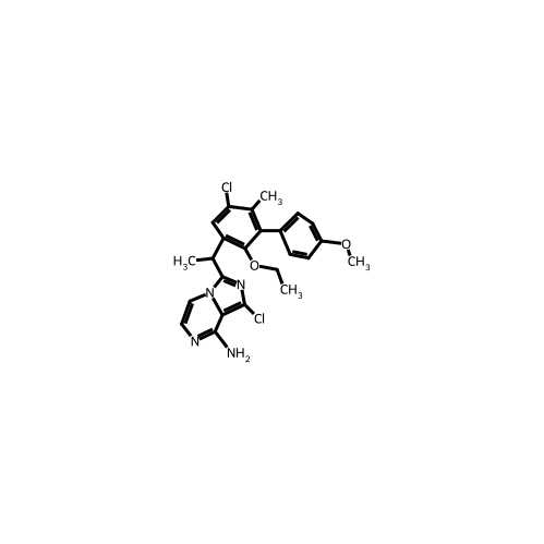 CCOc1c(C(C)c2nc(Cl)c3c(N)nccn23)cc(Cl)c(C)c1-c1ccc(OC)cc1